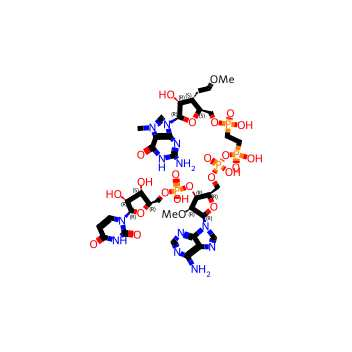 COCC[C@H]1[C@@H](O)[C@H](n2c[n+](C)c3c(=O)[nH]c(N)nc32)O[C@@H]1COP(=O)(O)CCP(=O)(O)OP(=O)(O)OC[C@H]1O[C@@H](n2cnc3c(N)ncnc32)[C@H](OC)[C@@H]1OP(=O)(O)OC[C@H]1O[C@@H](n2ccc(=O)[nH]c2=O)[C@H](O)[C@@H]1O